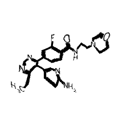 CCc1ncnc(-c2ccc(C(=O)NCCN3CCOCC3)c(F)c2)c1-c1ccc(N)nc1